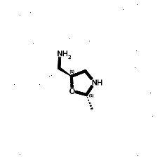 C[C@H]1NC[C@H](CN)O1